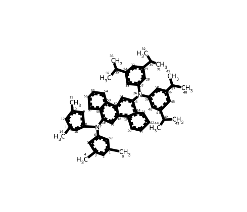 Cc1cc(C)cc(N(c2cc(C)cc(C)c2)c2cc3c4ccccc4c(N(c4cc(C(C)C)cc(C(C)C)c4)c4cc(C(C)C)cc(C(C)C)c4)cc3c3ccccc23)c1